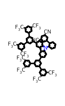 N#Cc1cc(C#N)cc(-c2ccccc2-n2c3ccc(-c4cc(-c5cc(C(F)(F)F)cc(C(F)(F)F)c5)cc(-c5cc(C(F)(F)F)cc(C(F)(F)F)c5)c4)cc3c3cc(-c4cc(-c5cc(C(F)(F)F)cc(C(F)(F)F)c5)cc(-c5cc(C(F)(F)F)cc(C(F)(F)F)c5)c4)ccc32)c1